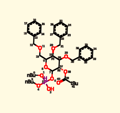 CCCCO[PH](O)(OCCCC)OC1OC(COCc2ccccc2)[C@@H](OCc2ccccc2)C(OCc2ccccc2)[C@@H]1OC(=O)C(C)(C)C